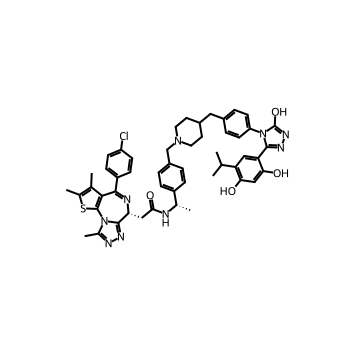 Cc1sc2c(c1C)C(c1ccc(Cl)cc1)=N[C@H](CC(=O)N[C@@H](C)c1ccc(CN3CCC(Cc4ccc(-n5c(O)nnc5-c5cc(C(C)C)c(O)cc5O)cc4)CC3)cc1)c1nnc(C)n1-2